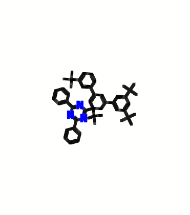 CC(C)(C)c1cccc(C2=CC(c3nc(-c4ccccc4)nc(-c4ccccc4)n3)(C(C)(C)C)CC(c3cc(C(C)(C)C)cc(C(C)(C)C)c3)=C2)c1